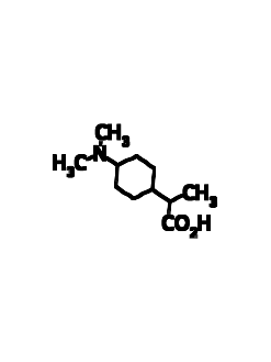 CC(C(=O)O)C1CCC(N(C)C)CC1